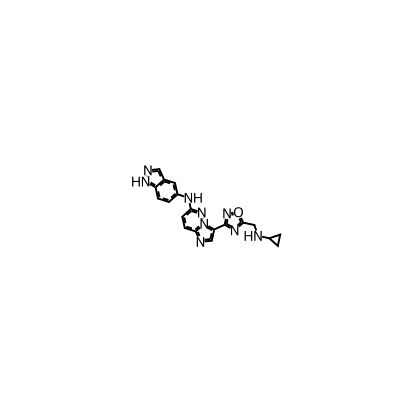 c1cc2[nH]ncc2cc1Nc1ccc2ncc(-c3noc(CNC4CC4)n3)n2n1